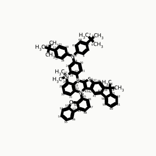 CC(C)(C)c1ccc(N(c2ccc(C(C)(C)C)cc2)c2ccc3c(c2)[Si](C)(C)c2cccc4c2B3c2sc3cc5c(cc3c2N4c2cccc3c2oc2ccccc23)-c2ccccc2C5(C)C)cc1